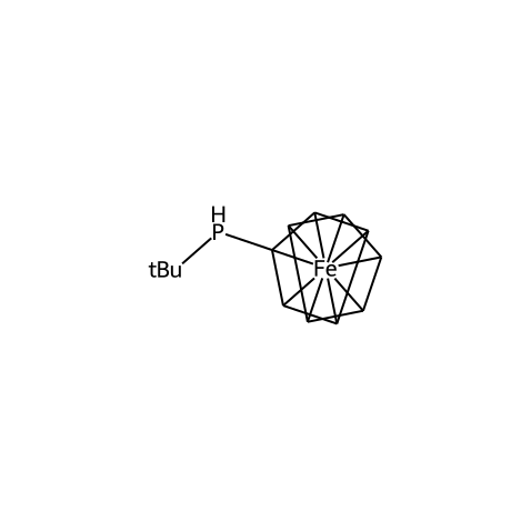 CC(C)(C)P[C]12[CH]3[CH]4[CH]5[CH]1[Fe]45321678[CH]2[CH]1[CH]6[CH]7[CH]28